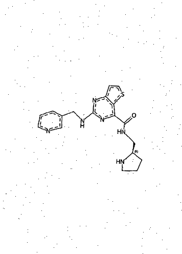 O=C(NC[C@H]1CCCN1)c1nc(NCc2cccnc2)nc2ccsc12